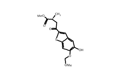 COCOc1cc2sc(C(=O)C[C@H](C)C(=O)OC)cc2cc1O